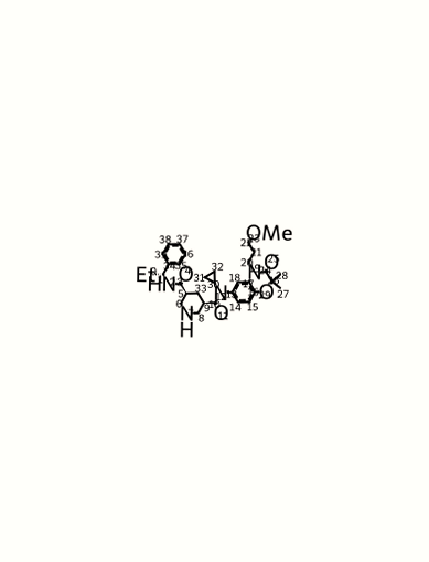 CC[C@@H](NC(=O)[C@@H]1CNC[C@H](C(=O)N(c2ccc3c(c2)N(CCCOC)C(=O)C(C)(C)O3)C2CC2)C1)c1ccccc1